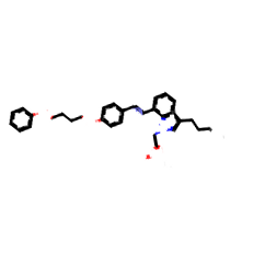 CC(C)(C)OC(=O)Cn1cc(CCCC(=O)O)c2cccc(/C=C/c3ccc(OCCCCOc4ccccc4)cc3)c21